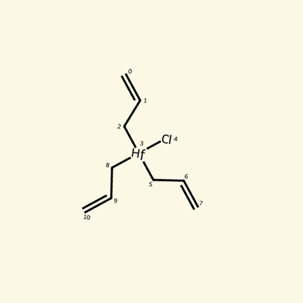 C=C[CH2][Hf]([Cl])([CH2]C=C)[CH2]C=C